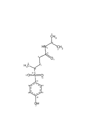 CC(C)NC(=O)CCC(C)S(=O)(=O)c1ccc(O)cc1